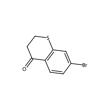 O=C1CCSc2cc(Br)ccc21